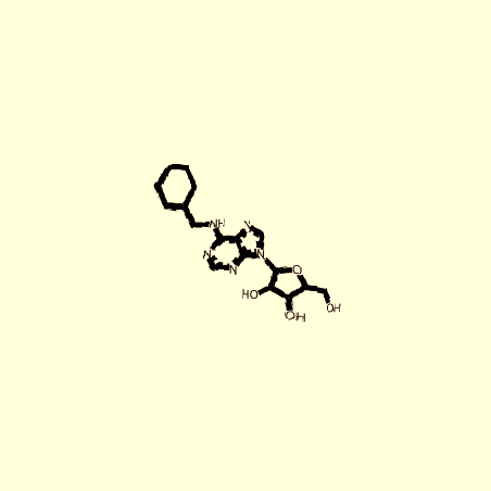 OCC1OC(n2cnc3c(NCC4CCCCC4)ncnc32)C(O)C1O